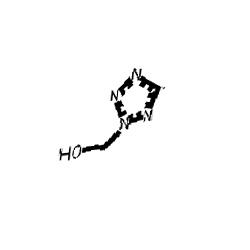 OCn1n[c]nn1